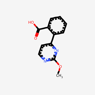 COc1nccc(-c2ccccc2C(=O)O)n1